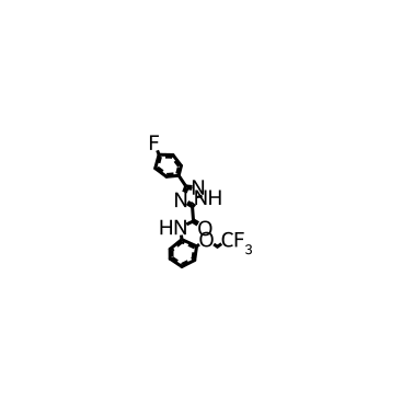 O=C(Nc1ccccc1OCC(F)(F)F)c1nc(-c2ccc(F)cc2)n[nH]1